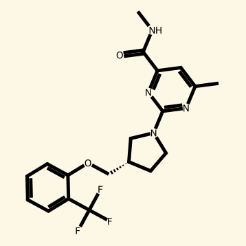 CNC(=O)c1cc(C)nc(N2CC[C@H](COc3ccccc3C(F)(F)F)C2)n1